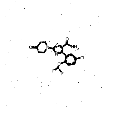 NC(=O)c1sc(N2CCC(=O)CC2)nc1-c1cc(Cl)ccc1OC(F)F